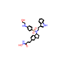 O=C(C=Cc1ccc2c(c1)CCC2N(CCc1c[nH]c2ccccc12)S(=O)(=O)c1ccc(NCCO)cc1)NO